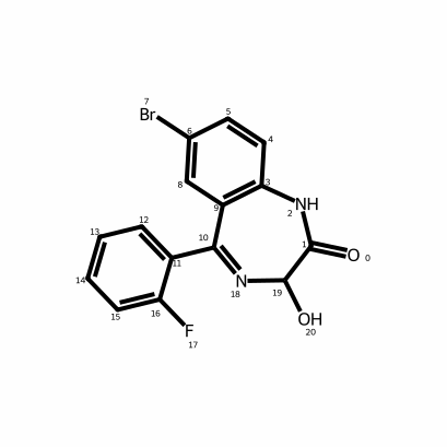 O=C1Nc2ccc(Br)cc2C(c2ccccc2F)=NC1O